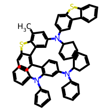 Cc1cc(N(c2ccc3sc4ccccc4c3c2)C2C=CC=CC2)cc2c1sc1cccc(-c3ccc(N(c4ccccc4)C4C=CC=CC4)cc3N(c3ccccc3)c3ccccc3)c12